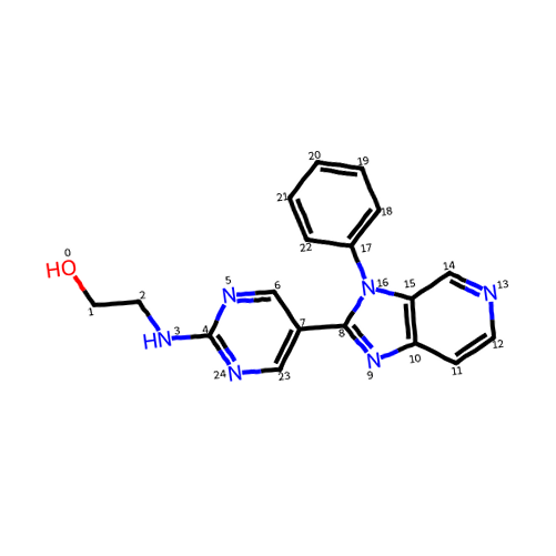 OCCNc1ncc(-c2nc3ccncc3n2-c2ccccc2)cn1